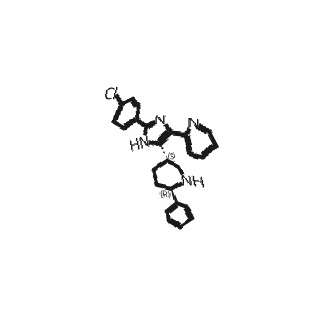 Clc1ccc(-c2nc(-c3ccccn3)c([C@H]3CC[C@H](c4ccccc4)NC3)[nH]2)cc1